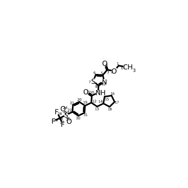 CCOC(=O)c1csc(NC(=O)C(CC2CCCC2)c2ccc(S(=O)(=O)C(F)(F)F)cc2)n1